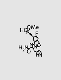 COC[C@@](C)(O)C#Cc1cc2c(cc1F)C1CC(C1)n1c-2nc(C(N)=O)c1Cc1ccnn1C